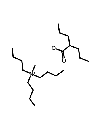 CCCC(CCC)C(=O)[O-].CCCC[N+](C)(CCCC)CCCC